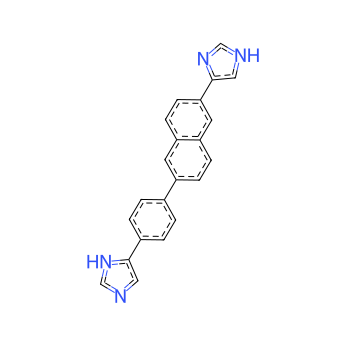 c1nc(-c2ccc3cc(-c4ccc(-c5cnc[nH]5)cc4)ccc3c2)c[nH]1